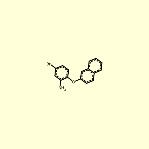 Nc1cc(Br)ccc1Oc1ccc2ccccc2c1